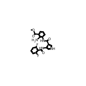 COC(=O)c1cccc(NC(=O)c2c[nH]cc2NC(=O)c2c(F)cccc2F)c1N